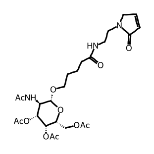 CC(=O)N[C@H]1[C@H](OCCCCC(=O)NCCN2CC=CC2=O)O[C@H](COC(C)=O)[C@H](OC(C)=O)[C@@H]1OC(C)=O